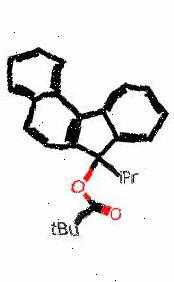 CC(C)C1(OC(=O)C(C)(C)C)c2ccccc2-c2c1ccc1ccccc21